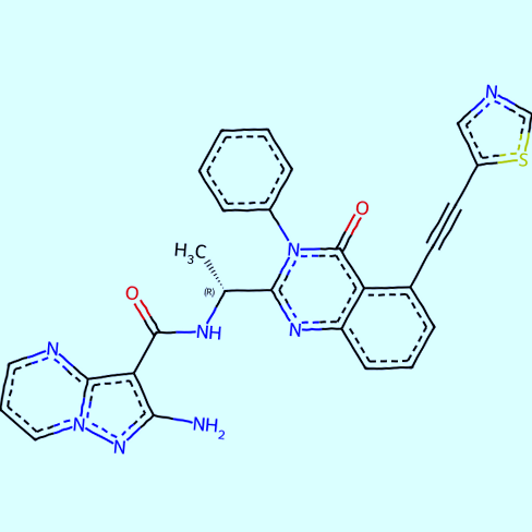 C[C@@H](NC(=O)c1c(N)nn2cccnc12)c1nc2cccc(C#Cc3cncs3)c2c(=O)n1-c1ccccc1